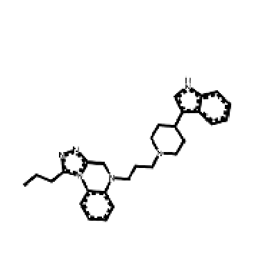 CCCc1nnc2n1-c1ccccc1N(CCCN1CCC(c3c[nH]c4ccccc34)CC1)C2